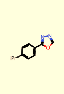 CC(C)c1ccc(-c2nnco2)cc1